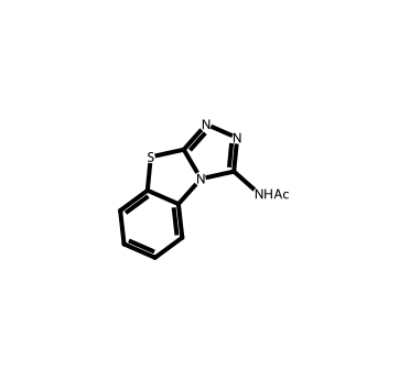 CC(=O)Nc1nnc2sc3ccccc3n12